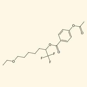 CCOCCCCCC(OC(=O)c1ccc(OC(C)=O)cc1)C(F)(F)F